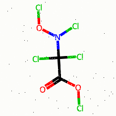 O=C(OCl)C(Cl)(Cl)N(Cl)OCl